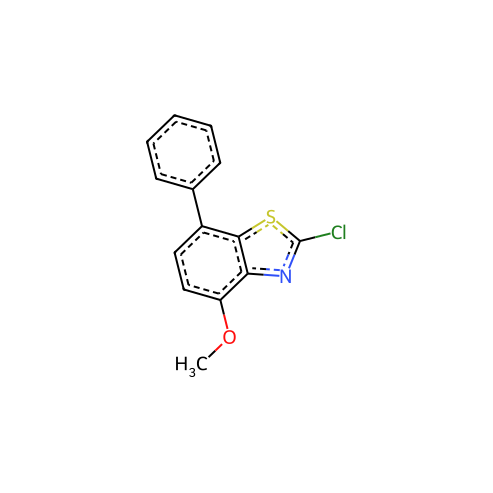 COc1ccc(-c2ccccc2)c2sc(Cl)nc12